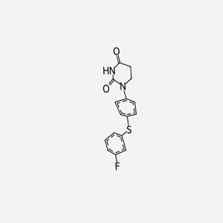 O=C1CCN(c2ccc(Sc3cccc(F)c3)cc2)C(=O)N1